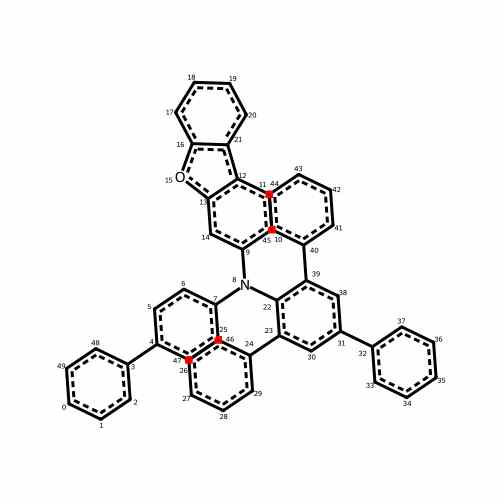 c1ccc(-c2ccc(N(c3ccc4c(c3)oc3ccccc34)c3c(-c4ccccc4)cc(-c4ccccc4)cc3-c3ccccc3)cc2)cc1